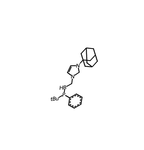 CC(C)(C)P(BCN1C=CN(C23CC4CC(CC(C4)C2)C3)C1)c1ccccc1